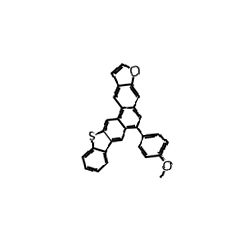 COc1ccc(-c2cc3cc4occc4cc3c3cc4sc5ccccc5c4cc23)cc1